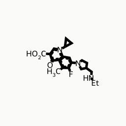 CCNCC1CCN(c2cc3c(c(C)c2F)c(=O)c(C(=O)O)cn3C2CC2)C1